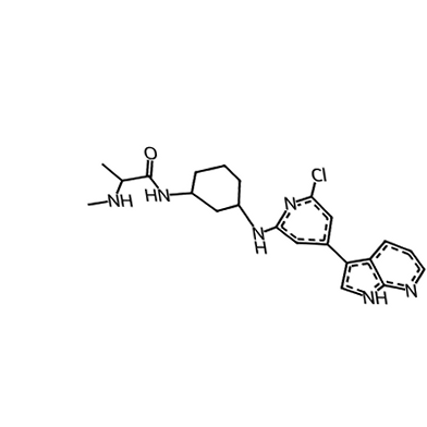 CNC(C)C(=O)NC1CCCC(Nc2cc(-c3c[nH]c4ncccc34)cc(Cl)n2)C1